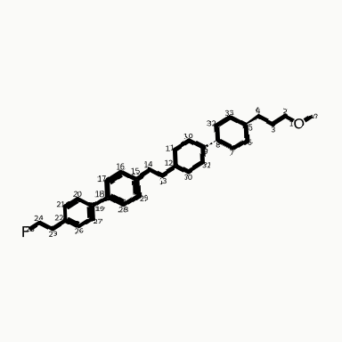 COCCC[C@H]1CC[C@H](C2CCC(CCc3ccc(-c4ccc(CCF)cc4)cc3)CC2)CC1